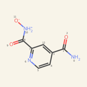 NC(=O)c1ccnc(C(=O)[NH2+][O-])c1